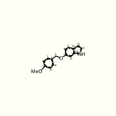 COc1ccc(COc2ccc3cc[nH]c3c2)cc1